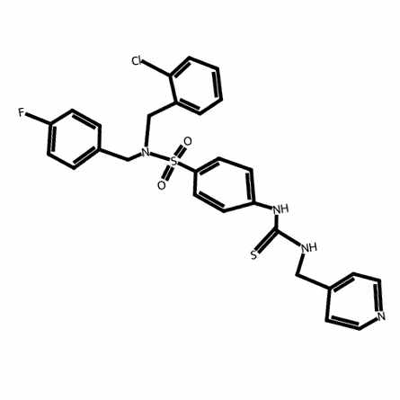 O=S(=O)(c1ccc(NC(=S)NCc2ccncc2)cc1)N(Cc1ccc(F)cc1)Cc1ccccc1Cl